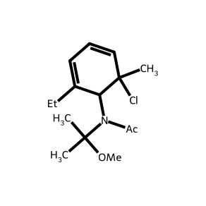 CCC1=CC=CC(C)(Cl)C1N(C(C)=O)C(C)(C)OC